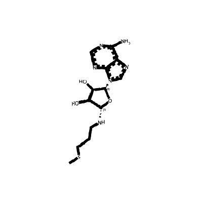 CSCCCN[C@H]1O[C@@H](n2cnc3c(N)ncnc32)C(O)C1O